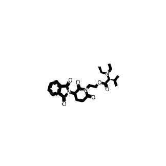 CCN(CC)[C@H](C(=O)OCCN1C(=O)CCC(N2C(=O)c3ccccc3C2=O)C1=O)C(C)C